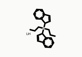 CCC[Si](CCC)(C1C=Cc2ccccc21)C1C=Cc2ccccc21.[LiH]